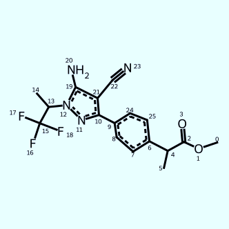 COC(=O)C(C)c1ccc(-c2nn(C(C)C(F)(F)F)c(N)c2C#N)cc1